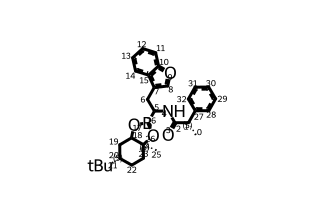 C[C@H](C(=O)NC(Cc1coc2ccccc12)B1OC2C[C@@H](C(C)(C)C)CC[C@]2(C)O1)c1ccccc1